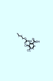 CCCCOC(=O)Nc1c(C(=O)O)ccc(Cl)c1Cl